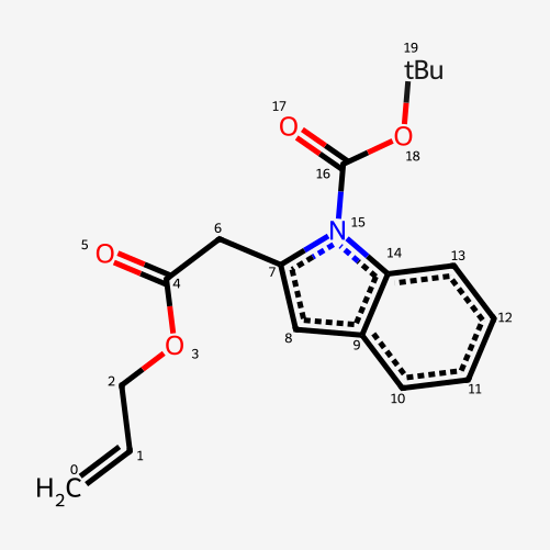 C=CCOC(=O)Cc1cc2ccccc2n1C(=O)OC(C)(C)C